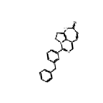 O=C1C=CC2=CN=C(c3cccc(Cc4ccccc4)c3)N3CCC(=C23)N1